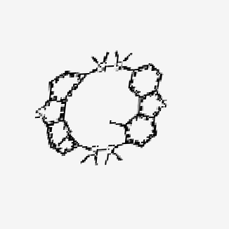 Cc1c2ccc3sc4ccc(cc4c13)[Si](C)(C)[Si](C)(C)c1ccc3sc4ccc(c(C)c4c3c1)[Si](C)(C)[Si]2(C)C